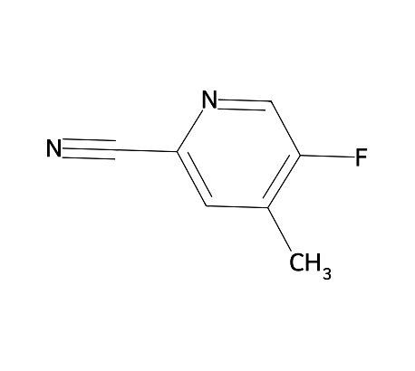 Cc1cc(C#N)ncc1F